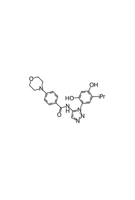 CC(C)c1cc(-n2nncc2NC(=O)c2ccc(N3CCOCC3)cc2)c(O)cc1O